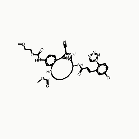 COCCOC(=O)Nc1ccc2c(c1)N[C@@H](C(=O)OC)CCCC[C@H](NC(=O)/C=C/c1cc(Cl)ccc1-n1cnnn1)c1nc-2c(C#N)[nH]1